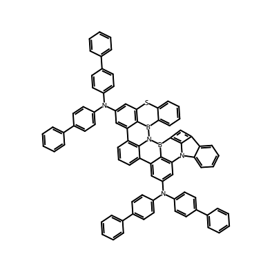 c1ccc(-c2ccc(N(c3ccc(-c4ccccc4)cc3)c3cc4c5c(c3)-c3cccc6c3N(B5c3ccccc3S4)B3c4c-6cc(N(c5ccc(-c6ccccc6)cc5)c5ccc(-c6ccccc6)cc5)cc4-n4c5ccccc5c5cccc3c54)cc2)cc1